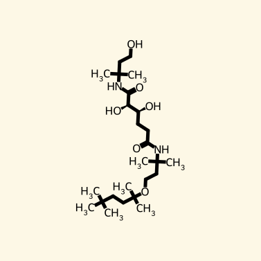 CC(C)(C)CCC(C)(C)OCCC(C)(C)NC(=O)CC[C@H](O)[C@@H](O)C(=O)NC(C)(C)CCO